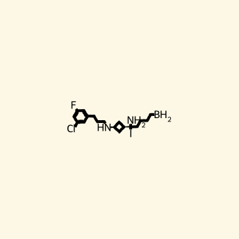 BCCCCC(N)(I)[C@H]1C[C@@H](NCCCc2cc(F)cc(Cl)c2)C1